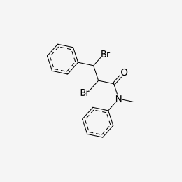 CN(C(=O)C(Br)C(Br)c1ccccc1)c1ccccc1